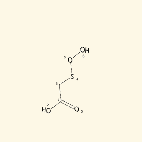 O=C(O)CSOO